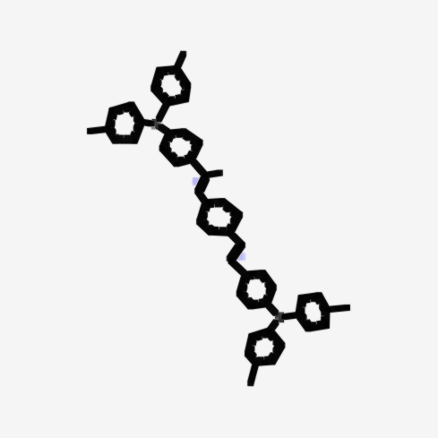 C/C(=C\c1ccc(/C=C/c2ccc(N(c3ccc(C)cc3)c3ccc(C)cc3)cc2)cc1)c1ccc(N(c2ccc(C)cc2)c2ccc(C)cc2)cc1